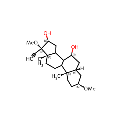 C#C[C@]1(OC)[C@@H](O)CC2C3C(CC[C@@]21C)[C@@]1(C)CC[C@H](OC)C[C@H]1C[C@@H]3O